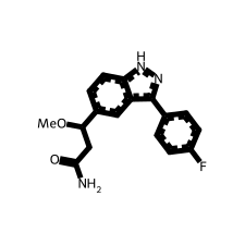 COC(CC(N)=O)c1ccc2[nH]nc(-c3ccc(F)cc3)c2c1